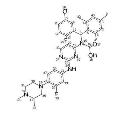 Cc1cc(C)c(C(c2cc(Cl)ccc2F)N(C(=O)O)c2ccnc(Nc3ccc(N4CCN(C)C(C)C4)c(F)c3)n2)c(C)c1